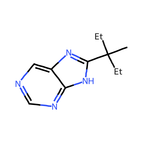 CCC(C)(CC)c1nc2cncnc2[nH]1